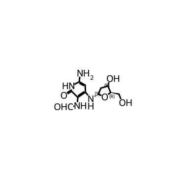 Nc1cc(N[C@@H]2C[C@@H](O)[C@@H](CO)O2)c(NC=O)c(=O)[nH]1